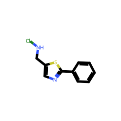 ClNCc1cnc(-c2ccccc2)s1